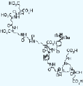 CC(C)(C)[SiH](c1ccc(C(=O)NC[C@@H](C(=O)N[C@@H](CCCCNC(=O)CCC(=O)NCCC[C@@H](NC(=O)CC[C@H](NC(=O)N[C@@H](CCC(=O)O)C(=O)O)C(=O)O)C(=O)O)C(=O)O)n2cc(CNC(=O)CCP(=O)(O)CN3CCN(CPCCC(=O)O)CCN(CP(=O)(O)CCC(=O)O)CC3)nn2)cc1)C(C)(C)C